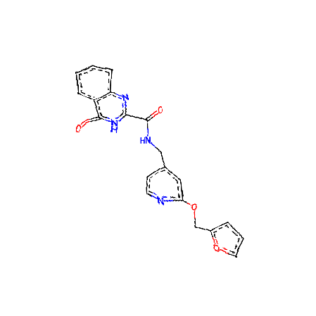 O=C(NCc1ccnc(OCc2ccco2)c1)c1nc2ccccc2c(=O)[nH]1